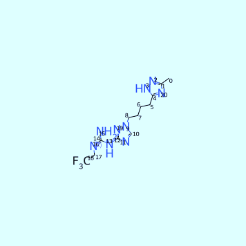 Cc1n[nH]c(CCCCn2cnc(N/C(N)=N\CC(F)(F)F)n2)n1